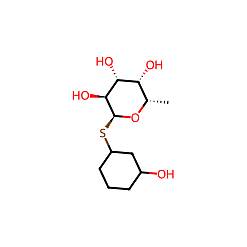 C[C@@H]1O[C@@H](SC2CCCC(O)C2)[C@@H](O)[C@H](O)[C@@H]1O